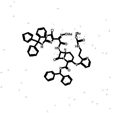 CO/N=C(\C(=O)N[C@@H]1C(=O)N2C(C(=O)OC(c3ccccc3)c3ccccc3)=C(Sc3cccnc3CCNC(=O)OC(C)(C)C)CC[C@H]12)c1nc(NC(c2ccccc2)(c2ccccc2)c2ccccc2)sc1Cl